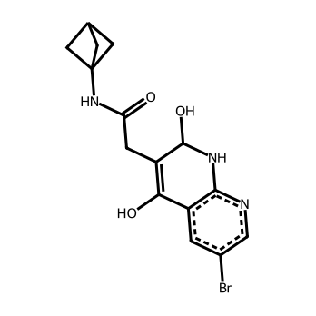 O=C(CC1=C(O)c2cc(Br)cnc2NC1O)NC12CC(C1)C2